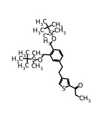 CCC(=O)c1cc(CCc2ccc(CO[Si](C)(C)C(C)(C)C)c(CO[Si](C)(C)C(C)(C)C)c2)cs1